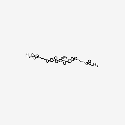 C=CC(=O)OCCCCCCOc1ccc(C(=O)Oc2ccc(CC(=O)c3ccc4cc(OCCCCCCOC(=O)C=C)ccc4c3)c(CCC)c2)cc1